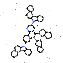 c1ccc2cc(-c3c(-c4ccc5ccccc5c4)c4cc(-n5c6ccccc6c6c7ccccc7ccc65)cnc4c4ccc(-n5c6ccccc6c6c7ccccc7ccc65)cc34)ccc2c1